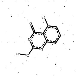 CCc1cccc2nc(OC(C)C)oc(=O)c12